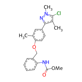 COC(=O)Nc1ccccc1COc1ccc(-c2nn(C)c(Cl)c2C)cc1C